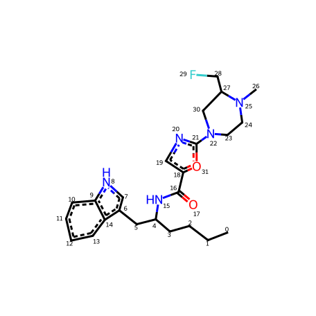 CCCCC(Cc1c[nH]c2ccccc12)NC(=O)c1cnc(N2CCN(C)C(CF)C2)o1